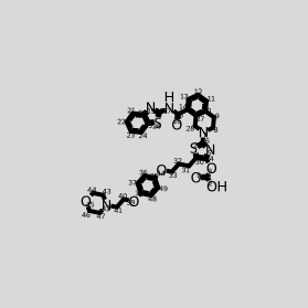 O=C(O)Oc1nc(N2CCc3cccc(C(=O)Nc4nc5ccccc5s4)c3C2)sc1CCCOc1ccc(OCCN2CCOCC2)cc1